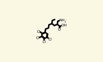 CCC(CCCc1cc(Cl)c(Cl)c(Cl)c1Cl)CC(CN)C(=O)O